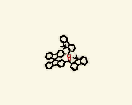 C[Si]1(C)c2ccccc2-c2cccc(C(=O)c3ccc4c(c3)C3(c5ccccc5-4)c4ccccc4-c4ccc(C(=O)c5cccc6c5[Si](C)(C)c5ccccc5-6)cc43)c21